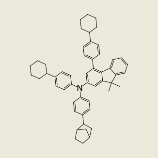 CC1(C)c2ccccc2-c2c(-c3ccc(C4CCCCC4)cc3)cc(N(c3ccc(C4CCCCC4)cc3)c3ccc(C4CC5CCC4C5)cc3)cc21